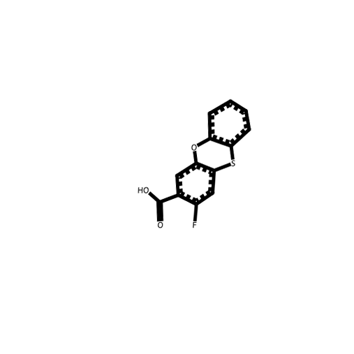 O=C(O)c1cc2c(cc1F)Sc1ccccc1O2